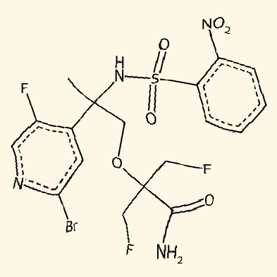 CC(COC(CF)(CF)C(N)=O)(NS(=O)(=O)c1ccccc1[N+](=O)[O-])c1cc(Br)ncc1F